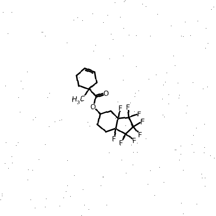 CC1(C(=O)OC2CCC3(F)C(F)(F)C(F)(F)C(F)(F)C3(F)C2)CC=CCC1